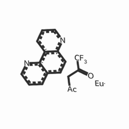 CC(=O)CC(=O)C(F)(F)F.[Eu].c1cnc2c(c1)ccc1ncccc12